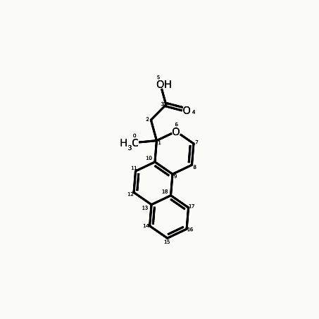 CC1(CC(=O)O)OC=Cc2c1ccc1ccccc21